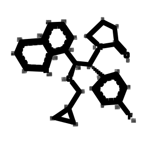 O=C1CCCN1[C@H](c1ccc(F)cc1)[C@@H](OCC1CC1)c1cccc2cccnc12